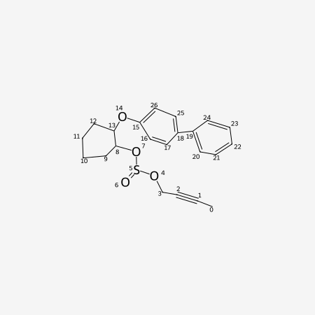 CC#CCOS(=O)OC1CCCCC1Oc1ccc(-c2ccccc2)cc1